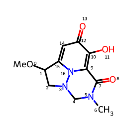 COC1CN2CN(C)C(=O)c3c(O)c(=O)cc1n32